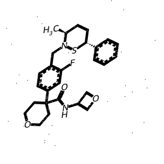 C[C@H]1CC[C@H](c2ccccc2)SN1Cc1ccc(C2(C(=O)NC3COC3)CCOCC2)cc1F